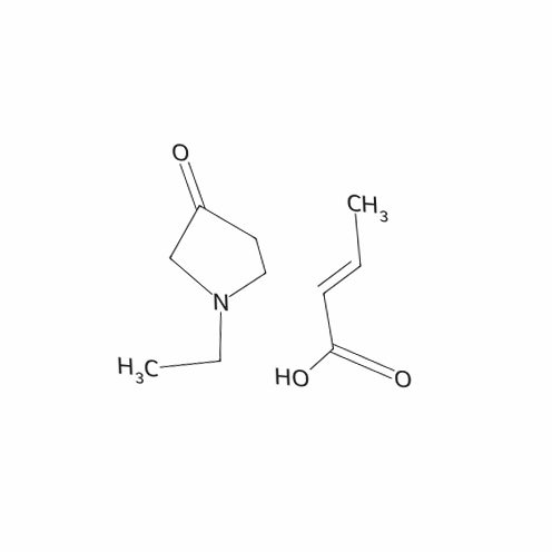 C/C=C/C(=O)O.CCN1CCC(=O)C1